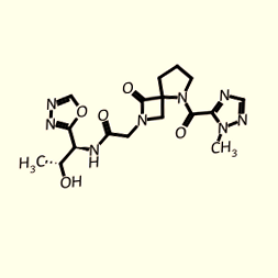 C[C@@H](O)[C@H](NC(=O)CN1CC2(CCCN2C(=O)c2ncnn2C)C1=O)c1nnco1